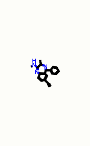 C#Cc1ccc2c(c1)C(c1ccccc1)=NC(C)C(NC)=N2